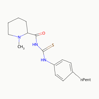 CCCCCc1ccc(NC(=S)NC(=O)C2CCCCN2C)cc1